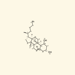 CC(C)CCC[C@H](C)[C@H]1CC[C@H]2[C@@H]3CC=C4C[C@@H](O)CC(O)[C@]4(C)[C@H]3CC[C@]12C